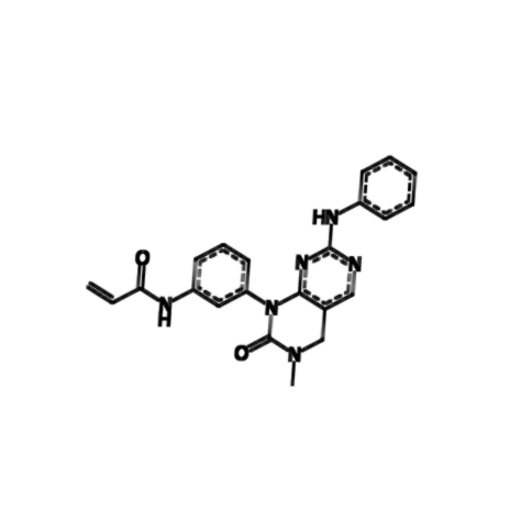 C=CC(=O)Nc1cccc(N2C(=O)N(C)Cc3cnc(Nc4ccccc4)nc32)c1